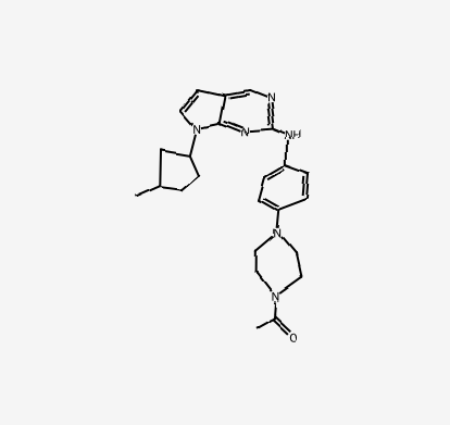 CC(=O)N1CCN(c2ccc(Nc3ncc4ccn(C5CCC(C)C5)c4n3)cc2)CC1